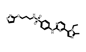 CCn1c(-c2ccnc(Nc3ccc(S(=O)(=O)NCCCOc4ccsn4)cc3)n2)cnc1C